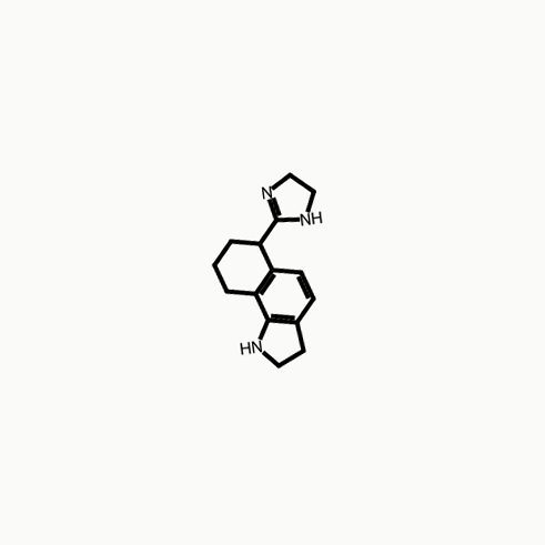 c1cc2c(c3c1CCN3)CCCC2C1=NCCN1